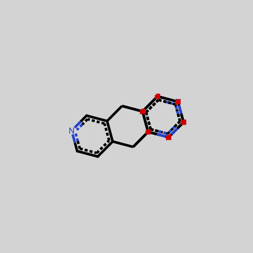 c1ccc2c(c1)C1c3cnccc3C2c2ncncc21